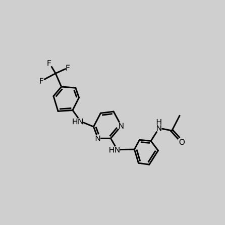 CC(=O)Nc1cccc(Nc2nccc(Nc3ccc(C(F)(F)F)cc3)n2)c1